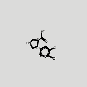 CC(C)C(=O)[C@@H]1CNC[C@H]1c1ccc(Cl)c(Cl)c1